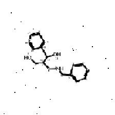 OC[C@H](CNCc1ccccc1)C(O)c1ccccc1